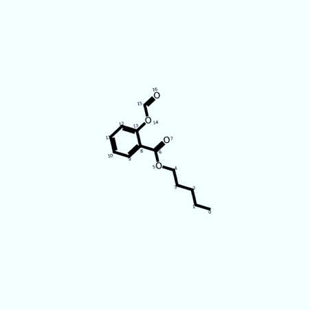 CCCCCOC(=O)c1ccccc1OC=O